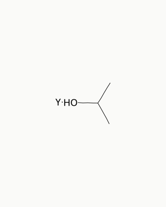 CC(C)O.[Y]